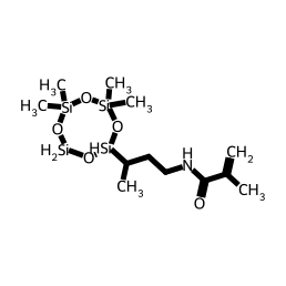 C=C(C)C(=O)NCCC(C)[SiH]1O[SiH2]O[Si](C)(C)O[Si](C)(C)O1